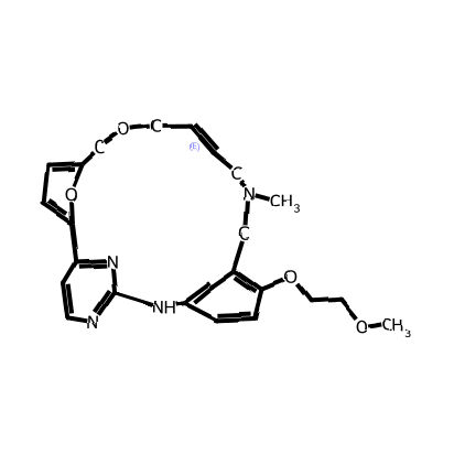 COCCOc1ccc2cc1CN(C)C/C=C/COCc1ccc(o1)-c1ccnc(n1)N2